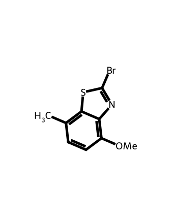 COc1ccc(C)c2sc(Br)nc12